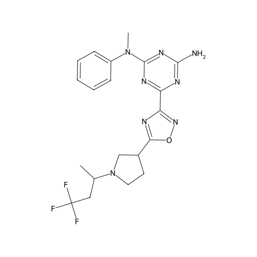 CC(CC(F)(F)F)N1CCC(c2nc(-c3nc(N)nc(N(C)c4ccccc4)n3)no2)C1